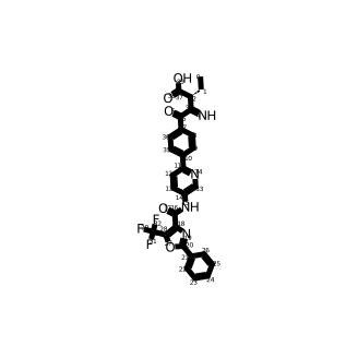 CC[C@H](C(=N)C(=O)c1ccc(-c2ccc(NC(=O)c3nc(-c4ccccc4)oc3C(F)(F)F)cn2)cc1)C(=O)O